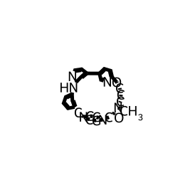 CN1CCCOc2ccc(cn2)-c2ccnc(c2)Nc2cccc(c2)CN2CCN(CC2)CC1=O